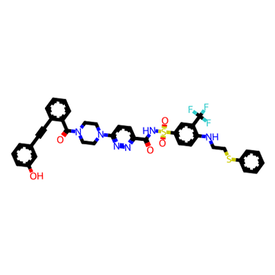 O=C(NS(=O)(=O)c1ccc(NCCSc2ccccc2)c(C(F)(F)F)c1)c1ccc(N2CCN(C(=O)c3ccccc3C#Cc3cccc(O)c3)CC2)nn1